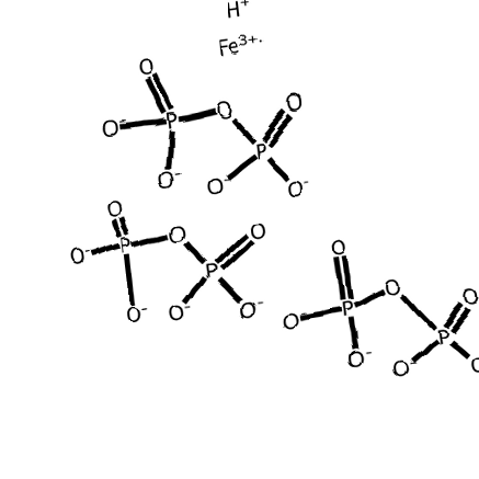 O=P([O-])([O-])OP(=O)([O-])[O-].O=P([O-])([O-])OP(=O)([O-])[O-].O=P([O-])([O-])OP(=O)([O-])[O-].[Fe+3].[H+]